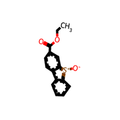 CCOC(=O)c1ccc2c3ccccc3[s+]([O-])c2c1